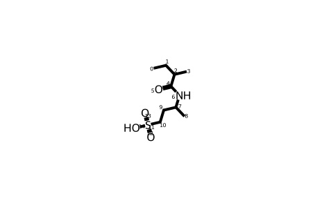 CCC(C)C(=O)NC(C)CCS(=O)(=O)O